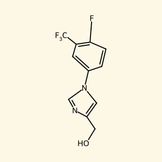 OCc1cn(-c2ccc(F)c(C(F)(F)F)c2)cn1